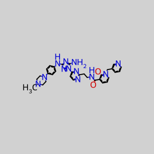 CN1CCN(c2ccc(Nc3nc(N)n(-c4ccnc(CCNC(=O)c5cccn(Cc6cccnc6)c5=O)n4)n3)cc2)CC1